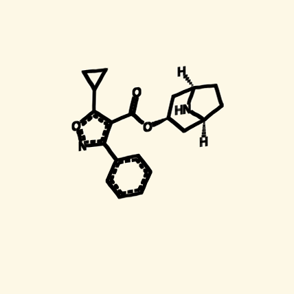 O=C(O[C@H]1C[C@H]2CC[C@@H](C1)N2)c1c(-c2ccccc2)noc1C1CC1